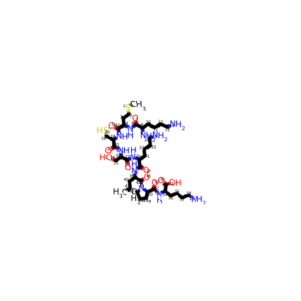 CSCCC(NC(=O)C(N)CCCCN)C(=O)NC(CS)C(=O)NC(CO)C(=O)NC(CCCCN)C(=O)NC(CC(C)C)C(=O)N1CCCC1C(=O)NC(CCCCN)C(=O)O